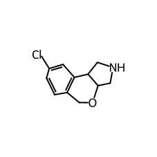 Clc1ccc2c(c1)C1CNCC1OC2